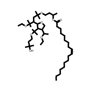 CCCCCCCC/C=C\CCCCCCCC(=O)OC(C)CCOC(C)(C)CC(C1OCC(C(C)OCC)C1C(C)(C)OCCC(C)(C)O)C(C)(C)OCC